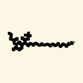 CCOC(=O)Cn1cc(N(CCOCCOCCOCCOCCN=[N+]=[N-])C(=O)OC(C)(C)C)ccc1=O